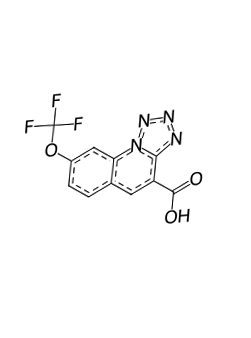 O=C(O)c1cc2ccc(OC(F)(F)F)cc2n2nnnc12